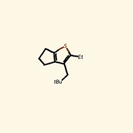 CCc1sc2c(c1CC(C)(C)C)CCC2